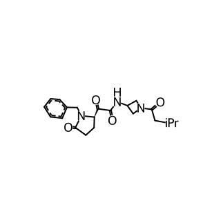 CC(C)CC(=O)N1CC(NC(=O)C(=O)[C@H]2CCC(=O)N2Cc2ccccc2)C1